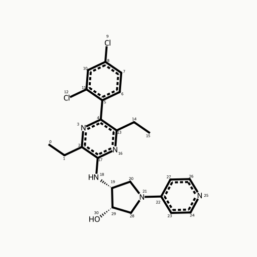 CCc1nc(-c2ccc(Cl)cc2Cl)c(CC)nc1N[C@@H]1CN(c2ccncc2)C[C@@H]1O